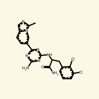 Cc1ncc2ccc(-c3nc(N)nc(NC(Cc4cccc(Cl)c4Cl)C(N)=O)n3)cn12